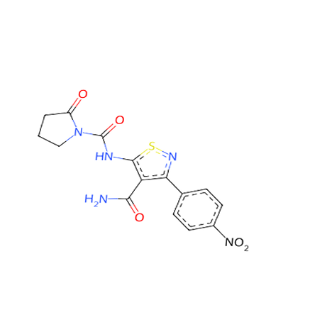 NC(=O)c1c(-c2ccc([N+](=O)[O-])cc2)nsc1NC(=O)N1CCCC1=O